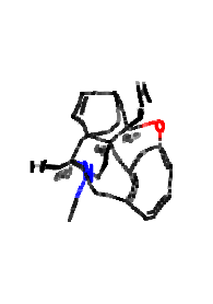 CN1CC[C@]23c4c5cccc4O[C@H]2C2C=CC3(CC2)[C@H]1C5